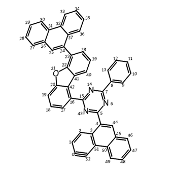 c1ccc2c(-c3nc(-c4ccccc4)nc(-c4cccc5oc6c(-c7cc8ccccc8c8ccccc78)cccc6c45)n3)cc3ccccc3c2c#1